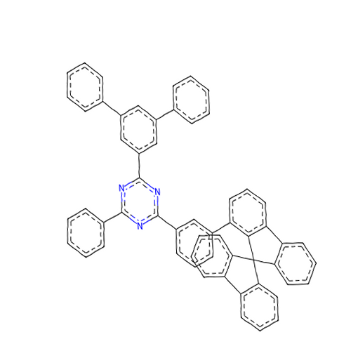 c1ccc(-c2cc(-c3ccccc3)cc(-c3nc(-c4ccccc4)nc(-c4cccc(-c5cccc6c5C5(c7ccccc7-c7ccccc75)c5ccccc5-6)c4)n3)c2)cc1